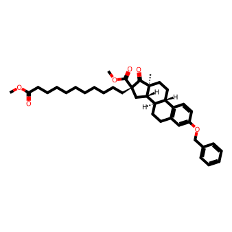 COC(=O)CCCCCCCCCC[C@]1(C(=O)OC)C[C@H]2[C@@H]3CCc4cc(OCc5ccccc5)ccc4[C@H]3CC[C@]2(C)C1=O